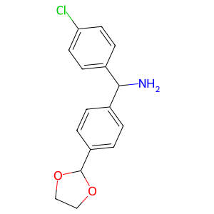 NC(c1ccc(Cl)cc1)c1ccc(C2OCCO2)cc1